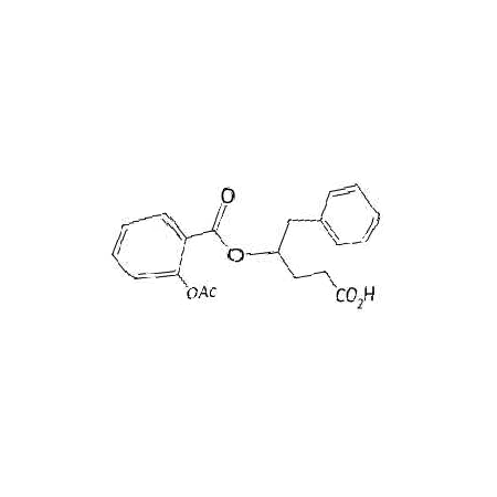 CC(=O)Oc1ccccc1C(=O)OC(CCC(=O)O)Cc1ccccc1